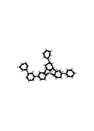 c1ccc(-c2cccc(-c3ccc4c(c3)c3cc(-c5ccccc5)cc5c6cc(-c7ccccc7)ccc6n4c53)c2)cc1